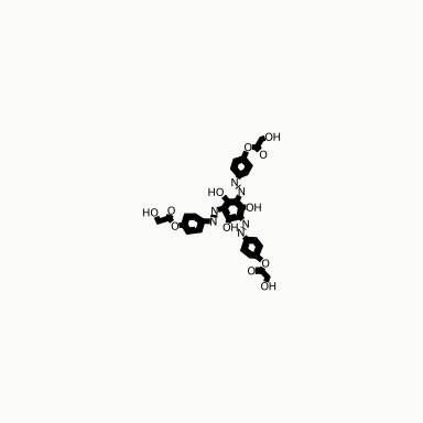 O=C(CO)Oc1ccc(N=Nc2c(O)c(N=Nc3ccc(OC(=O)CO)cc3)c(O)c(N=Nc3ccc(OC(=O)CO)cc3)c2O)cc1